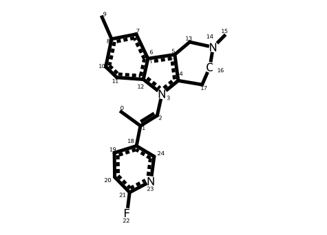 C/C(=C\n1c2c(c3cc(C)ccc31)CN(C)CC2)c1ccc(F)nc1